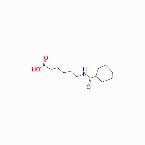 O=C(O)CCCCCNC(=O)C1CCCCC1